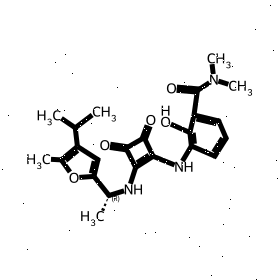 Cc1oc([C@@H](C)Nc2c(Nc3cccc(C(=O)N(C)C)c3O)c(=O)c2=O)cc1C(C)C